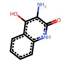 Nc1c(O)c2ccccc2[nH]c1=O